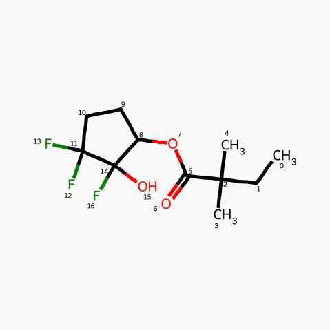 CCC(C)(C)C(=O)OC1CCC(F)(F)C1(O)F